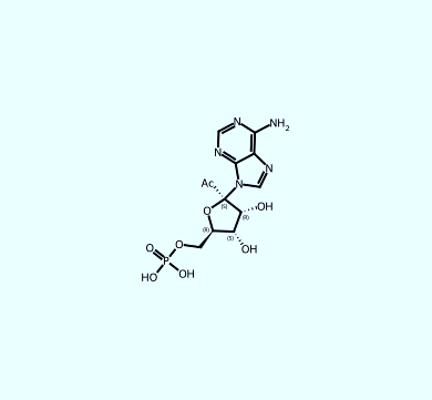 CC(=O)[C@@]1(n2cnc3c(N)ncnc32)O[C@H](COP(=O)(O)O)[C@@H](O)[C@H]1O